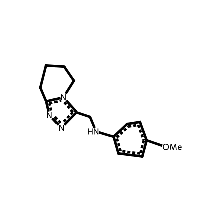 COc1ccc(NCc2nnc3n2CCCC3)cc1